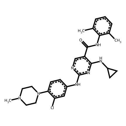 Cc1cccc(C)c1NC(=O)c1cnc(Nc2ccc(N3CCN(C)CC3)c(Cl)c2)nc1NC1CC1